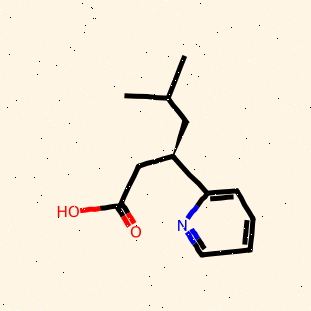 CC(C)C[C@H](CC(=O)O)c1ccccn1